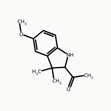 COc1ccc2c(c1)C(C)(C)C(C(C)=O)N2